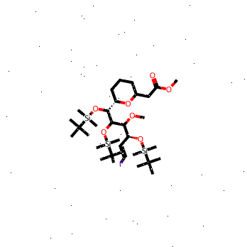 COC(=O)CC1CCC[C@@H](C(O[Si](C)(C)C(C)(C)C)C(O[Si](C)(C)C(C)(C)C)C(OC)[C@H](/C=C/I)O[Si](C)(C)C(C)(C)C)O1